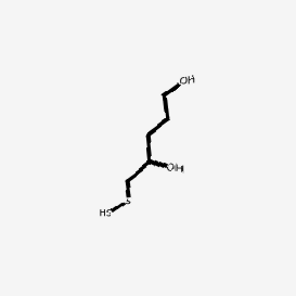 OCCCC(O)CSS